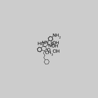 CC1(CCCC2CCCCC2)C(=O)C(C2=NS(O)(O)c3cc(N)ccc3N2)=C(O)c2ccccc21.Cl